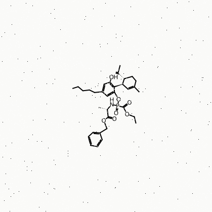 C=C(C)[C@@H]1CCC(C)=C[C@H]1c1c(O)cc(CCCCC)cc1OP(=O)(N[C@@H](C)C(=O)OCc1ccccc1)C(=O)OCC